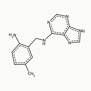 Cc1ccc(N)c(CNc2ncnc3[nH]cnc23)c1